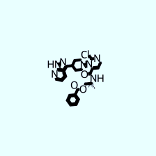 C[C@H](COC(=O)c1ccccc1)NC(=O)C1=CC=NC(Cl)N1N1CCC(c2n[nH]c3ncccc23)CC1